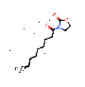 C=CCCCCCCC(=O)N1CCOC1=O